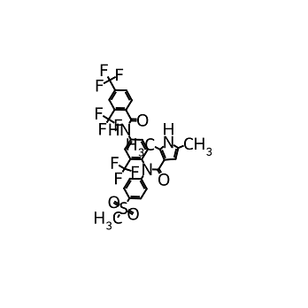 Cc1cc(C(=O)N(c2ccc(S(C)(=O)=O)cc2)c2ccc(NC(=O)c3ccc(C(F)(F)F)cc3C(F)(F)F)cc2C(F)(F)F)c(C)[nH]1